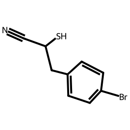 N#CC(S)Cc1ccc(Br)cc1